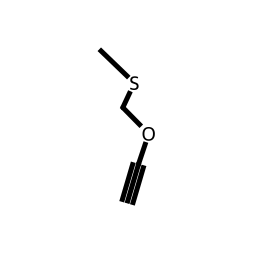 C#COCSC